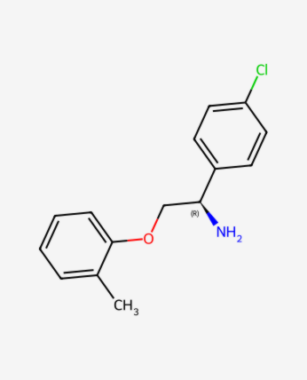 Cc1ccccc1OC[C@H](N)c1ccc(Cl)cc1